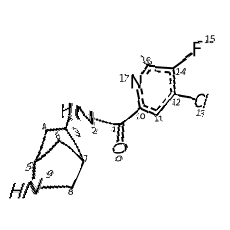 O=C(NC1CC2CC1CN2)c1cc(Cl)c(F)cn1